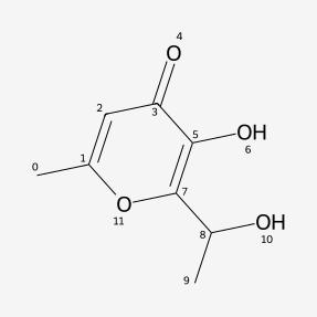 Cc1cc(=O)c(O)c(C(C)O)o1